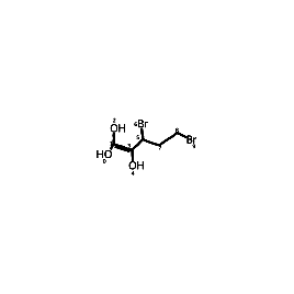 OC(O)=C(O)C(Br)CCBr